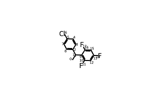 C[C](c1ccc(Cl)cc1)c1c(F)cc(F)cc1F